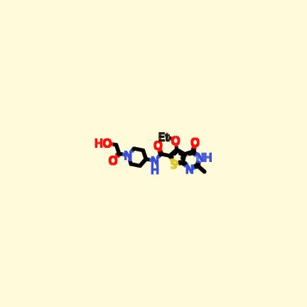 CCOc1c(C(=O)NC2CCN(C(=O)CO)CC2)sc2nc(C)[nH]c(=O)c12